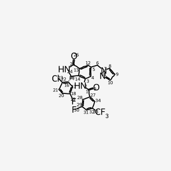 O=C(Nc1cc(Cn2cccn2)cc2c1[C@H](c1cc(F)ccc1Cl)NC2=O)c1cc(F)cc(C(F)(F)F)c1